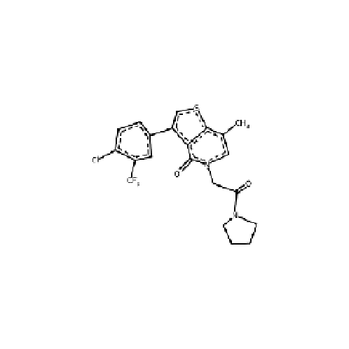 Cc1cn(CC(=O)N2CCCC2)c(=O)c2c(-c3ccc(Cl)c(C(F)(F)F)c3)csc12